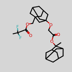 CC(F)(F)C(=O)OCC12CC3CC(C1)CC(OCC(=O)OC1(C)C4CC5CC(C4)CC1C5)(C3)C2